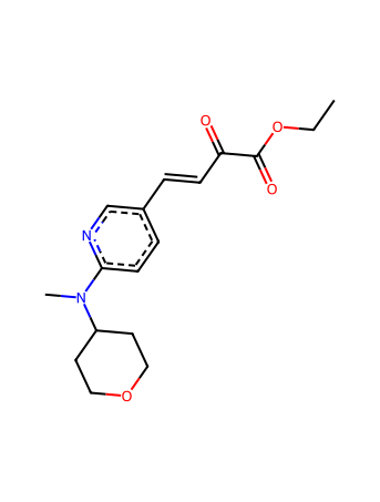 CCOC(=O)C(=O)/C=C/c1ccc(N(C)C2CCOCC2)nc1